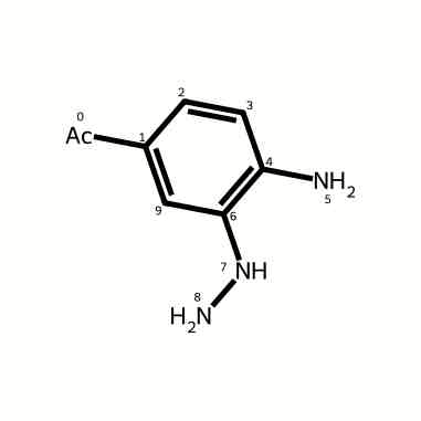 CC(=O)c1ccc(N)c(NN)c1